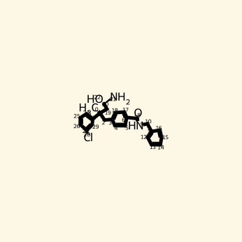 CC(Cc1ccc(C(=O)NCc2ccccc2)cc1)(C[C@H](N)O)c1cccc(Cl)c1